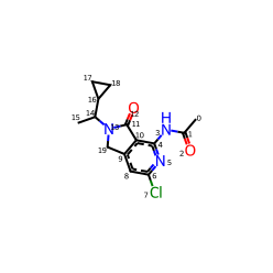 CC(=O)Nc1nc(Cl)cc2c1C(=O)N(C(C)C1CC1)C2